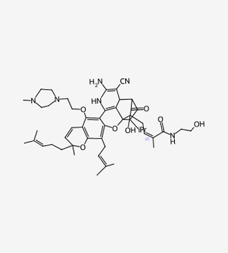 CC(C)=CCCC1(C)C=Cc2c(c(CC=C(C)C)c3c(c2OCCN2CCN(C)CC2)C2=C4C(C(C#N)=C(N)N2)C2CC(C(C)C)C4(O3)C(O)(C/C=C(/C)C(=O)NCCO)C2=O)O1